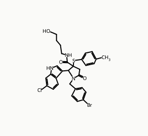 Cc1ccc(SC2(C(=O)NCCCCO)CC(=O)N(Cc3ccc(Br)cc3)C2c2c[nH]c3cc(Cl)ccc23)cc1